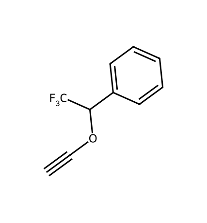 C#COC(c1ccccc1)C(F)(F)F